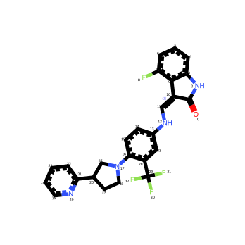 O=C1Nc2cccc(F)c2/C1=C/Nc1ccc(N2CCC(c3ccccn3)C2)c(C(F)(F)F)c1